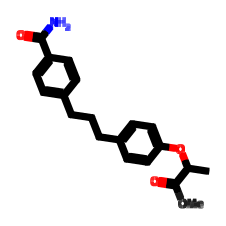 COC(=O)C(C)Oc1ccc(CCCc2ccc(C(N)=O)cc2)cc1